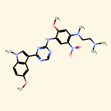 COc1ccc2c(c1)c(-c1ncnc(Nc3cc([N+](=O)[O-])c(N(C)CCN(C)C)cc3OC)n1)cn2C